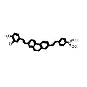 CCCCCCCCN(CCCCCCCC)c1ccc(/C=C/c2ccc3c(c2)CCc2cc(/C=C/c4ccc(C)c(CC)c4)ccc2-3)cc1